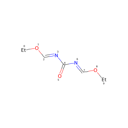 CCOC=NC(=O)N=COCC